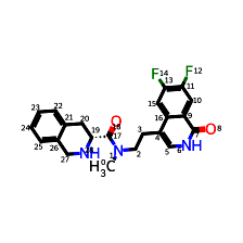 CN(CCc1c[nH]c(=O)c2cc(F)c(F)cc12)C(=O)[C@H]1Cc2ccccc2CN1